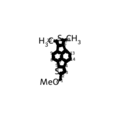 COCc1cc2c(s1)-c1ccc3c4c(ccc-2c14)-c1c(C)sc(C)c1-3